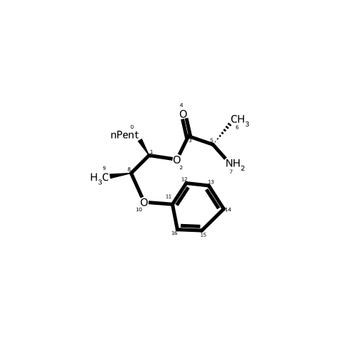 CCCCC[C@@H](OC(=O)[C@H](C)N)[C@H](C)Oc1ccccc1